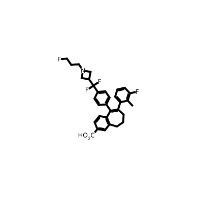 Cc1c(F)cccc1C1=C(c2ccc(C(F)(F)C3CN(CCCF)C3)cc2)c2ccc(C(=O)O)cc2CCC1